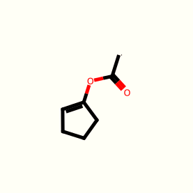 [CH2]C(=O)OC1=CCCC1